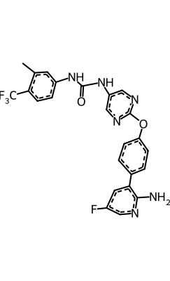 Cc1cc(NC(=O)Nc2cnc(Oc3ccc(-c4cc(F)cnc4N)cc3)nc2)ccc1C(F)(F)F